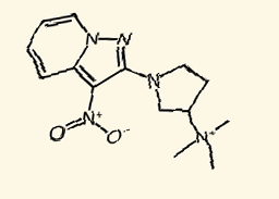 C[N+](C)(C)C1CCN(c2nn3ccccc3c2[N+](=O)[O-])C1